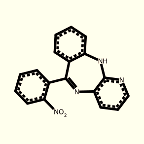 O=[N+]([O-])c1ccccc1C1=Nc2cccnc2Nc2ccccc21